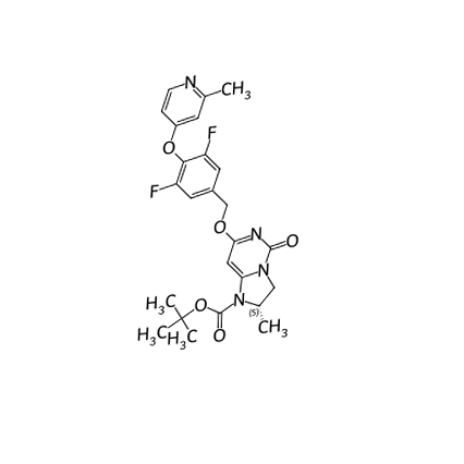 Cc1cc(Oc2c(F)cc(COc3cc4n(c(=O)n3)C[C@H](C)N4C(=O)OC(C)(C)C)cc2F)ccn1